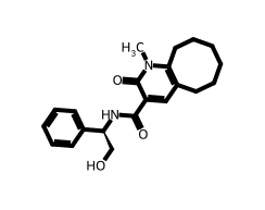 Cn1c2c(cc(C(=O)N[C@@H](CO)c3ccccc3)c1=O)CCCCCC2